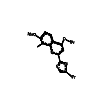 COc1ccc2c(OC(C)C)cc(-c3nc(C(C)C)cs3)nc2c1C